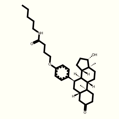 CCCCCNC(=O)CCCOc1ccc([C@@H]2C[C@H]3CC(=O)CC[C@]3(C)[C@H]3CC[C@]4(C)[C@@H](O)CC[C@H]4[C@H]23)cc1